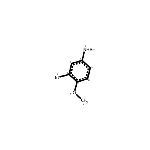 CCc1cc(NC(C)=O)ccc1OC(F)(F)F